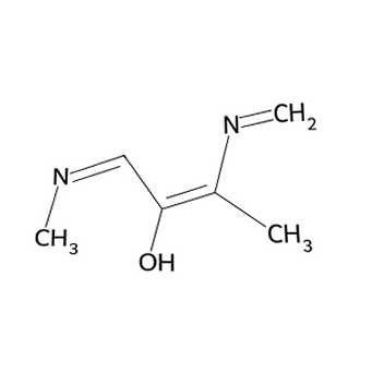 C=N/C(C)=C(O)\C=N/C